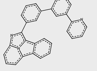 c1ccc(-c2cccc(-c3cccc(-c4nc5cccc6c7ccccc7c4n56)c3)c2)nc1